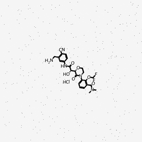 CN(C)C(=O)c1cccc(N2CCO[C@H]([C@@H](O)C(=O)Nc3ccc(C#N)c(CN)c3)C2=O)c1OC(F)F.Cl